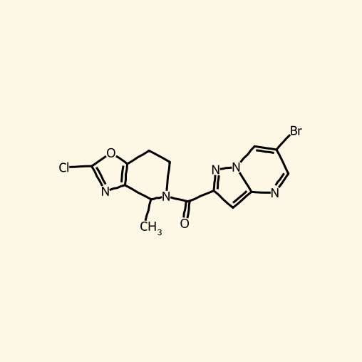 CC1c2nc(Cl)oc2CCN1C(=O)c1cc2ncc(Br)cn2n1